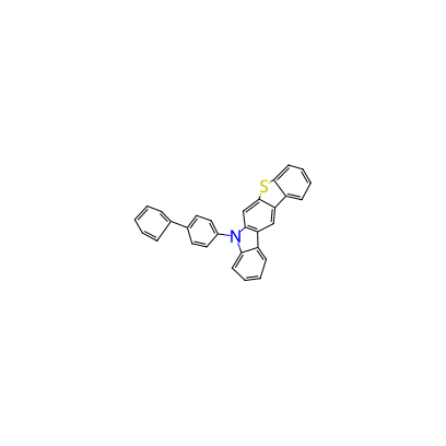 c1ccc(-c2ccc(-n3c4ccccc4c4cc5c(cc43)sc3ccccc35)cc2)cc1